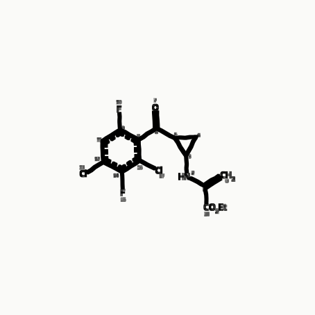 C=C(NC1CC1C(=O)c1c(F)cc(Cl)c(F)c1Cl)C(=O)OCC